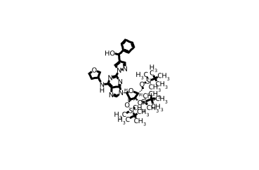 CC(C)(C)[Si](C)(C)OC[C@H]1O[C@@H](n2cnc3c(NC4CCOC4)nc(-n4cc(C(O)c5ccccc5)cn4)nc32)[C@H](O[Si](C)(C)C(C)(C)C)[C@@H]1O[Si](C)(C)C(C)(C)C